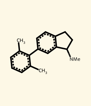 CNC1CCc2ccc(-c3c(C)cccc3C)cc21